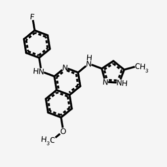 COc1ccc2c(Nc3ccc(F)cc3)nc(Nc3cc(C)[nH]n3)cc2c1